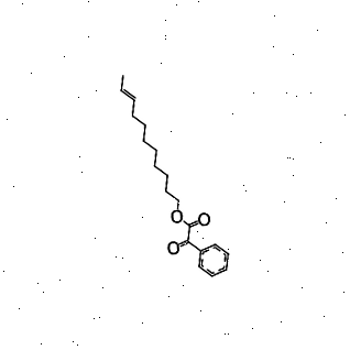 C/C=C/CCCCCCCCOC(=O)C(=O)c1ccccc1